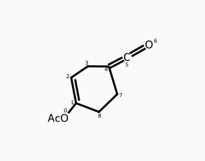 CC(=O)OC1=CCC(=C=O)CC1